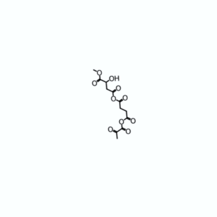 COC(=O)C(O)CC(=O)OC(=O)CCC(=O)OC(=O)C(C)=O